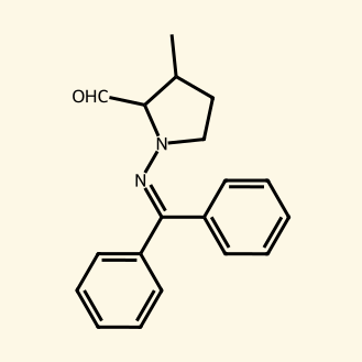 CC1CCN(N=C(c2ccccc2)c2ccccc2)C1C=O